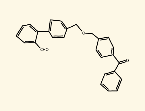 O=Cc1ccccc1-c1ccc(COCc2ccc(C(=O)c3ccccc3)cc2)cc1